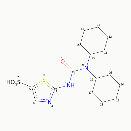 O=C(Nc1ncc(S(=O)(=O)O)s1)N(C1CCCCC1)C1CCCCC1